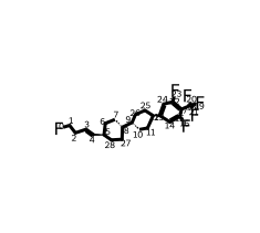 FCCC=C[C@H]1CC[C@H]([C@H]2CC[C@H](c3cc(F)c(C(F)(F)F)c(F)c3)CC2)CC1